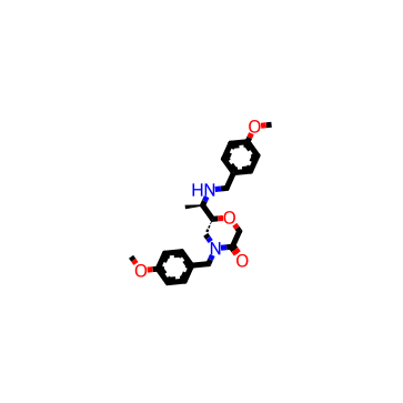 COc1ccc(CN[C@H](C)[C@H]2CN(Cc3ccc(OC)cc3)C(=O)CO2)cc1